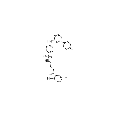 CN1CCN(c2ccnc(Nc3ccc(S(=O)(=O)NCCCc4c[nH]c5ccc(Cl)cc45)cc3)n2)CC1